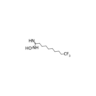 N=C(CCCCCCCCC(F)(F)F)NO